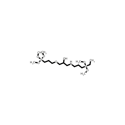 CC[Si](CCCNCC(O)COCCC[Si](OC)(OC)OC)(OC)OC